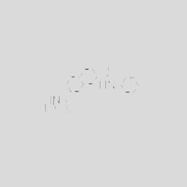 O=C(NO)c1ccc2ccc(C(=O)Nc3ccccc3)cc2c1